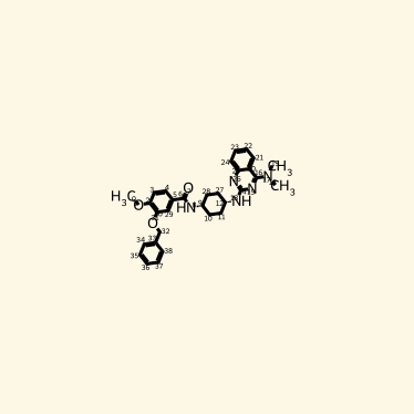 COc1ccc(C(=O)N[C@H]2CC[C@@H](Nc3nc(N(C)C)c4ccccc4n3)CC2)cc1OCc1ccccc1